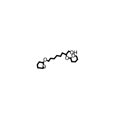 OCC(CCCCCCOC1CCCCO1)OC1CCCCO1